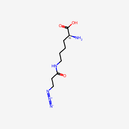 [N-]=[N+]=NCCC(=O)NCCCC[C@H](N)C(=O)O